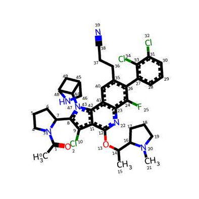 CC(=O)N1CCCC1c1c(Cl)c2c(OC(C)C3CCCN3C)nc3c(F)c(-c4cccc(Cl)c4Cl)c(CCC#N)cc3c2n1C1C2CNC1C2